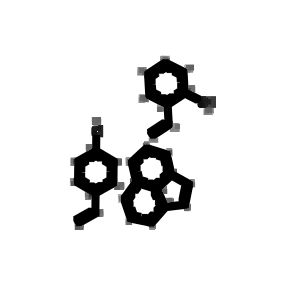 C1=Cc2cccc3cccc1c23.C=Cc1ccc(Cl)cc1.C=Cc1ccccc1O